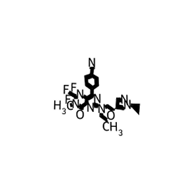 C[C@@H]1CN(c2nc(-c3ccc(C#N)cc3)c3nc(C(F)(F)F)n(C)c(=O)c3n2)C[C@H](c2cnn(C3CC3)c2)O1